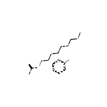 CCCCCCCCCOC(C)=O.Oc1ccccc1